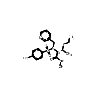 CCSC(C)[C@H](C(=O)NO)N(Cc1cccnc1)S(=O)(=O)c1ccc(O)cc1